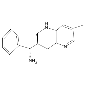 Cc1cnc2c(c1)NC[C@H]([C@H](N)c1ccccc1)C2